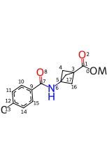 COC(=O)C12CC(NC(=O)c3ccc(C#N)cc3)(C1)C2